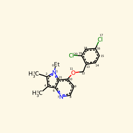 CCn1c(C)c(C)c2nccc(OCc3ccc(Cl)cc3Cl)c21